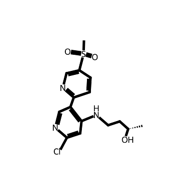 C[C@H](O)CCNc1cc(Cl)ncc1-c1ccc(S(C)(=O)=O)cn1